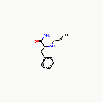 C=CCN[C@@H](Cc1ccccc1)C(N)=O